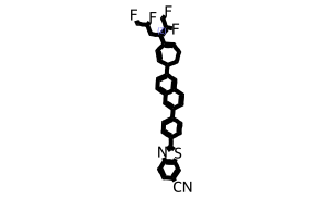 N#Cc1ccc2nc(-c3ccc(-c4ccc5cc(C6C=CC(/C(CC(F)CF)=C(\F)CF)=CCC6)ccc5c4)cc3)sc2c1